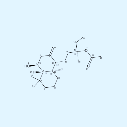 C=C1C[C@H](O)[C@H]2C(C)(C)CCC[C@]2(C)[C@H]1CC[C@@](C)(CC)OC(C)=O